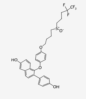 [O-][S+](CCCCOc1ccc(Oc2c(-c3ccc(O)cc3)ccc3cc(O)ccc23)cc1)CCCC(F)(F)C(F)(F)F